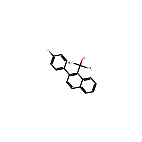 CC(C)(O)c1c(-c2ccc(Br)cc2)ccc2ccccc12